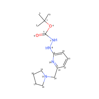 CC(C)(C)OC(=O)NNc1cccc(CN2CCCC2)n1